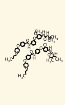 CCCCN1CCC(Oc2ccc(C(=O)Nc3ccc(Oc4ccc(NC(=O)NC(CC)C(C)I)cc4Cl)cc3)cc2)CC1.CCCCN1CCC(Oc2ccc(C(=O)Nc3cccc(Oc4ccc(NC(=O)NN(C)C)cc4OC)c3)cc2)CC1